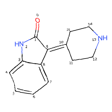 O=C1Nc2ccccc2C1=C1CCNCC1